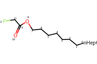 CCCCCCCCCCCCCCOC(=O)CF